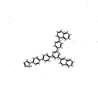 c1c[nH]c(-c2ccc(-c3ccc(-c4cc(-c5ccc6ccccc6c5)nc(-c5ccc(-c6cccc7ccccc67)cc5)n4)cc3)cc2)c1